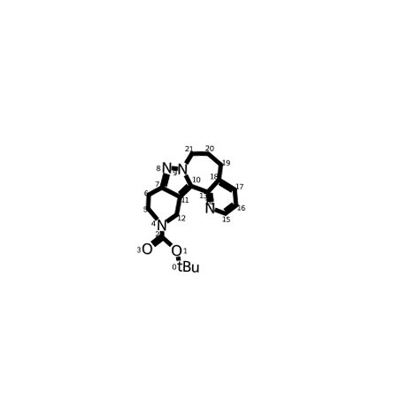 CC(C)(C)OC(=O)N1CCc2nn3c(c2C1)-c1ncccc1CCC3